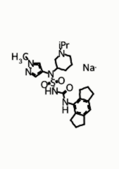 CC(C)N1CCCC(N(c2cnn(C)c2)S(=O)(=O)NC(=O)Nc2c3c(cc4c2CCC4)CCC3)C1.[Na]